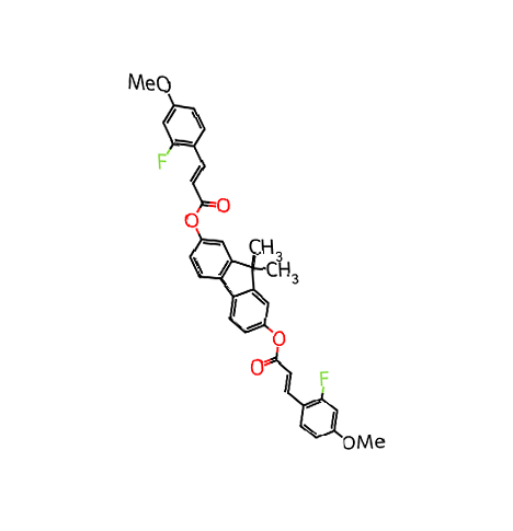 COc1ccc(C=CC(=O)Oc2ccc3c(c2)C(C)(C)c2cc(OC(=O)C=Cc4ccc(OC)cc4F)ccc2-3)c(F)c1